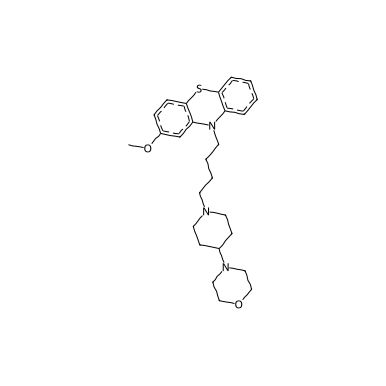 COc1ccc2c(c1)N(CCCCN1CCC(N3CCOCC3)CC1)c1ccccc1S2